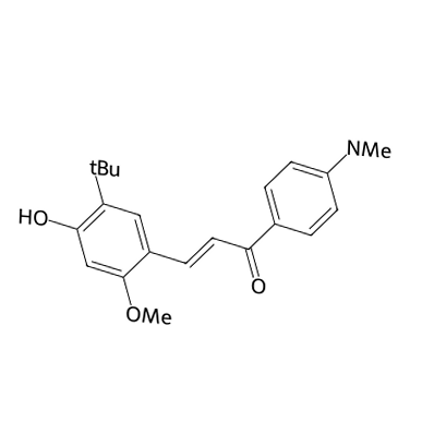 CNc1ccc(C(=O)C=Cc2cc(C(C)(C)C)c(O)cc2OC)cc1